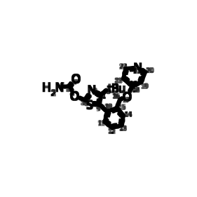 CC(C)(C)c1nc(OC(N)=O)sc1-c1ccccc1COc1ccncc1